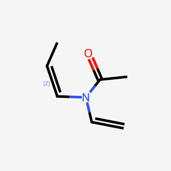 C=CN(/C=C\C)C(C)=O